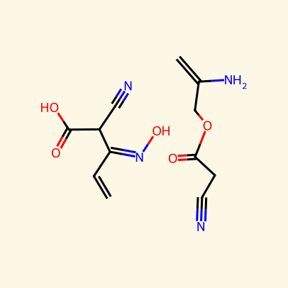 C=C(N)COC(=O)CC#N.C=CC(=NO)C(C#N)C(=O)O